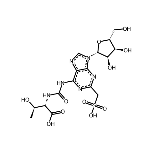 C[C@@H](O)[C@H](NC(=O)Nc1nc(CS(=O)(=O)O)nc2c1ncn2[C@@H]1O[C@H](CO)[C@@H](O)[C@H]1O)C(=O)O